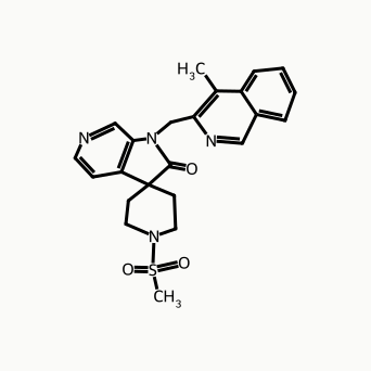 Cc1c(CN2C(=O)C3(CCN(S(C)(=O)=O)CC3)c3ccncc32)ncc2ccccc12